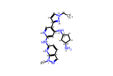 CC(C)n1ncc2ccc(Nc3cc(N[C@H]4CC[C@@H](N)C4)c(-c4ccn(CC(F)(F)F)n4)cn3)nc21